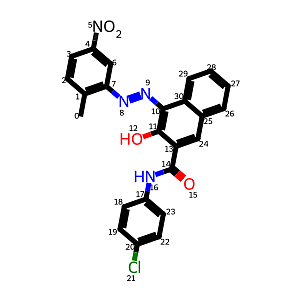 Cc1ccc([N+](=O)[O-])cc1/N=N/c1c(O)c(C(=O)Nc2ccc(Cl)cc2)cc2ccccc12